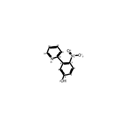 O=[N+]([O-])c1[c]cc(O)cc1-c1ccccn1